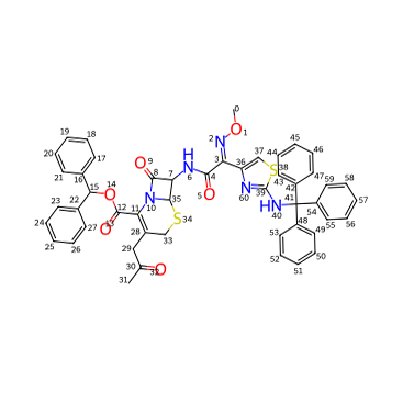 CON=C(C(=O)NC1C(=O)N2C(C(=O)OC(c3ccccc3)c3ccccc3)=C(CC(C)=O)CSC12)c1csc(NC(c2ccccc2)(c2ccccc2)c2ccccc2)n1